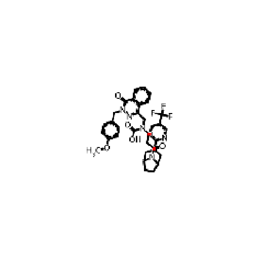 COc1ccc(Cn2nc(CN(CCC(=O)N3C4CCC3CN(c3ncc(C(F)(F)F)cn3)C4)C(=O)O)c3ccccc3c2=O)cc1